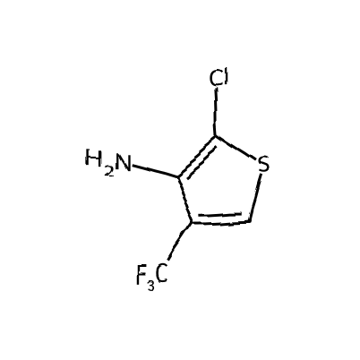 Nc1c(C(F)(F)F)csc1Cl